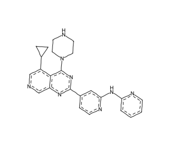 c1ccc(Nc2cc(-c3nc(N4CCNCC4)c4c(C5CC5)cncc4n3)ccn2)nc1